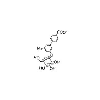 O=C([O-])c1ccc(-c2cccc(O[C@@H]3O[C@H](CO)[C@@H](O)[C@H](O)[C@@H]3O)c2)cc1.[Na+]